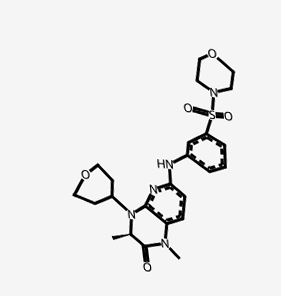 C[C@@H]1C(=O)N(C)c2ccc(Nc3cccc(S(=O)(=O)N4CCOCC4)c3)nc2N1C1CCOCC1